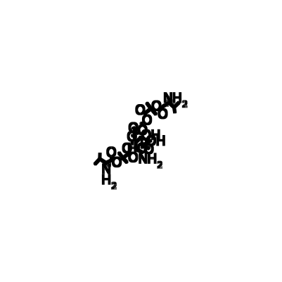 CC(C)[C@@H](N)C(=O)OC(C)(C)C(=O)OCOP(=O)(OCOC(=O)C(C)(C)OC(=O)[C@H](N)C(C)C)C(O)(CCCN)P(=O)(O)O